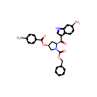 O=C(O[C@H]1C[C@@H](C(=O)c2c[nH]c3cc(P)ccc23)N(C(=O)OCc2ccccc2)C1)c1ccc([N+](=O)[O-])cc1